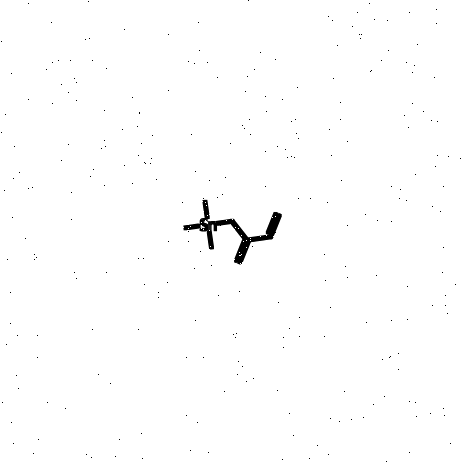 C=CC(=C)[CH2][Sn]([CH3])([CH3])[CH3]